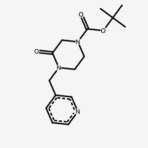 CC(C)(C)OC(=O)N1CCN(Cc2cccnc2)C(=O)C1